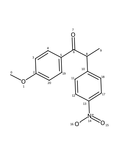 COc1ccc(C(=O)C(C)c2ccc([N+](=O)[O-])cc2)cc1